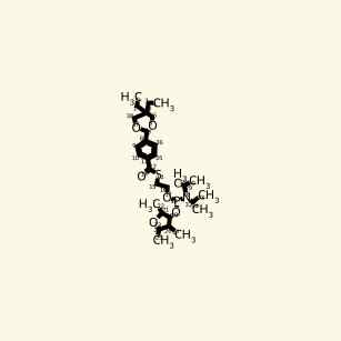 CCC1(CC)COC(c2ccc(C(=O)SCCOP(OC3C(C)OC(C)C3C)N(C(C)C)C(C)C)cc2)OC1